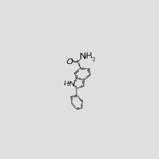 NC(=O)c1ccc2cc(-c3ccccc3)[nH]c2c1